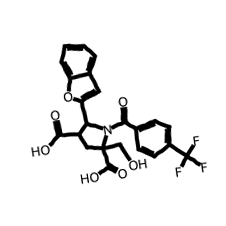 O=C(O)C1CC(CO)(C(=O)O)N(C(=O)c2ccc(C(F)(F)F)cc2)C1c1cc2ccccc2o1